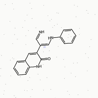 N=C/C(=C\Nc1ccccc1)c1cc2ccccc2[nH]c1=O